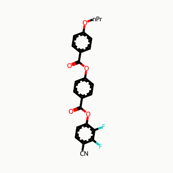 CCCOc1ccc(C(=O)Oc2ccc(C(=O)Oc3ccc(C#N)c(F)c3F)cc2)cc1